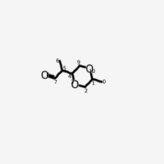 CC1COC(C(C)C=O)CO1